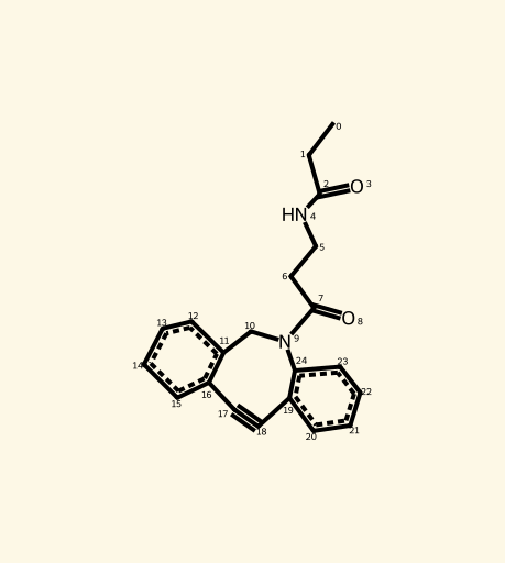 CCC(=O)NCCC(=O)N1Cc2ccccc2C#Cc2ccccc21